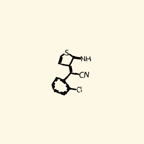 N#C/C(=C1/C=CSC1=N)c1ccccc1Cl